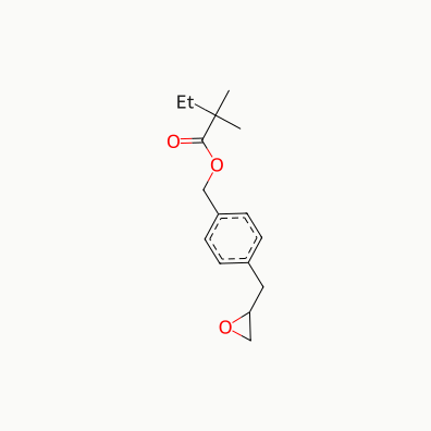 CCC(C)(C)C(=O)OCc1ccc(CC2CO2)cc1